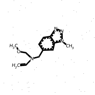 C=CN(COC)Cc1ccc2nnn(C)c2c1